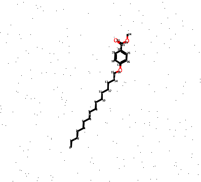 CCCCCCCCCCCCCCCCOc1ccc(C(=O)OC)cc1